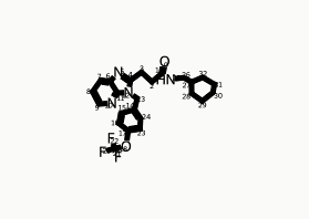 O=C(CCc1nc2cccnc2n1Cc1ccc(OC(F)(F)F)cc1)NCC1CCCCC1